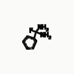 NC(N)(F)c1ccccc1